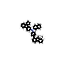 CC1(C)c2ccccc2-c2cccc(-c3ccc(N(c4ccc5c(c4)C4(CCCC4)c4ccccc4-5)c4ccc5ccccc5c4)cc3)c21